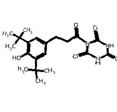 CC(C)(C)c1cc(CCC(=O)n2c(=O)[nH]c(=O)[nH]c2=O)cc(C(C)(C)C)c1O